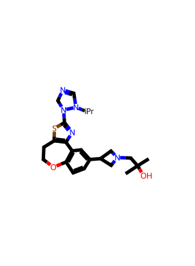 CC(C)N1C=NCN1c1nc2c(s1)CCOc1ccc(C3CN(CC(C)(C)O)C3)cc1-2